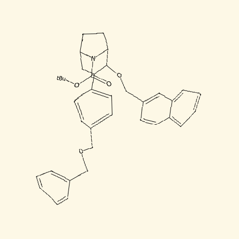 CC(C)(C)OC(=O)N1C2CCC1C(OCc1ccc3ccccc3c1)C(c1ccc(COCc3ccccc3)cc1)C2